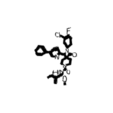 CCC(C)[C@H](NC(=O)N1CCC2(CC1)C(=O)N(c1ccc(F)c(Cl)c1)C2c1ccc(-c2ccccc2)cn1)OC